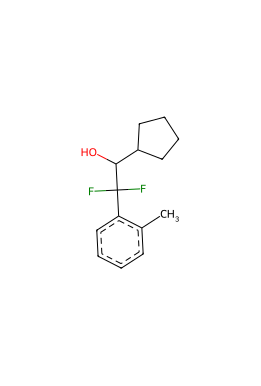 Cc1ccccc1C(F)(F)C(O)C1CCCC1